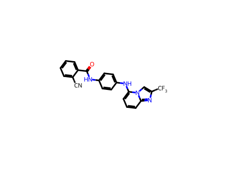 N#Cc1ccccc1C(=O)Nc1ccc(Nc2cccc3nc(C(F)(F)F)cn23)cc1